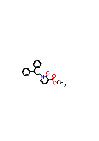 COC(=O)c1cccn(CCC(c2ccccc2)c2ccccc2)c1=O